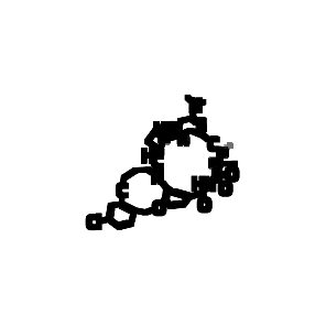 C[C@@H]1[C@@H](C)CCC[C@@](O)(CC(=S)N(C)C)[C@@H]2CC[C@H]2CN2CCCCc3cc(Cl)ccc3COc3ccc(cc32)C(=O)NS1(=O)=O